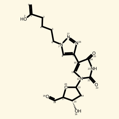 C=C(O)CCCCn1cc(-c2cn(C3C[C@H](O)C(C=O)O3)c(=O)[nH]c2=O)nn1